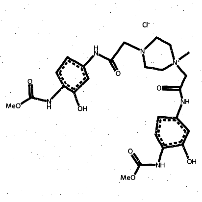 COC(=O)Nc1ccc(NC(=O)CN2CC[N+](C)(CC(=O)Nc3ccc(NC(=O)OC)c(O)c3)CC2)cc1O.[Cl-]